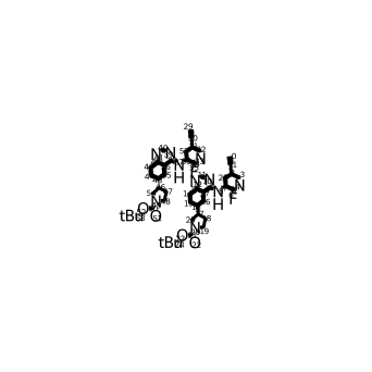 C#Cc1cnc(F)c(Nc2ncnc3ccc(C4CCN(C(=O)OC(C)(C)C)C4)cc23)c1.C#Cc1cnc(F)c(Nc2ncnc3ccc([C@@H]4CCN(C(=O)OC(C)(C)C)C4)cc23)c1